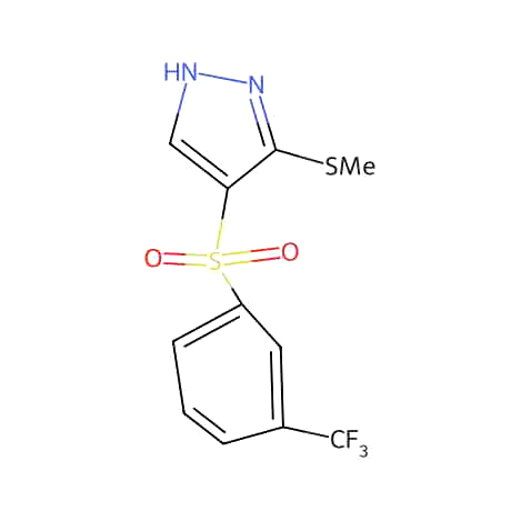 CSc1n[nH]cc1S(=O)(=O)c1cccc(C(F)(F)F)c1